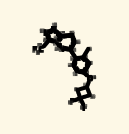 Cc1cc(OC2CC(F)(F)C2)ccc1-c1ccc2nnc(C(F)(F)F)n2n1